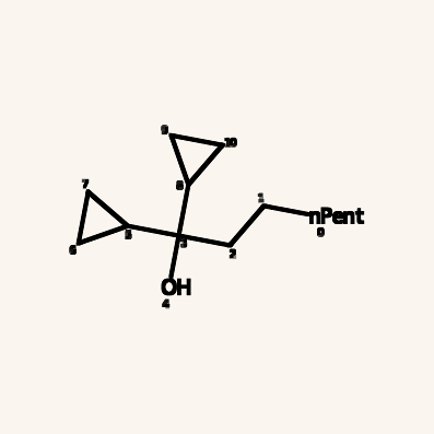 CCCCCCCC(O)(C1CC1)C1CC1